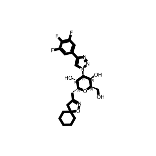 OC[C@H]1O[C@H](CC2=NOC3(CCCCC3)C2)[C@H](O)[C@@H](n2cc(-c3cc(F)c(F)c(F)c3)nn2)[C@H]1O